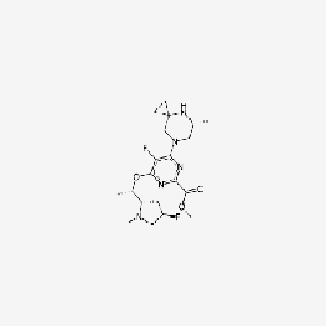 COC(=O)c1nc(O[C@@H](C)[C@@H]2C[C@@H](F)CN2C)c(F)c(N2C[C@@H](C)NC3(CC3)C2)n1